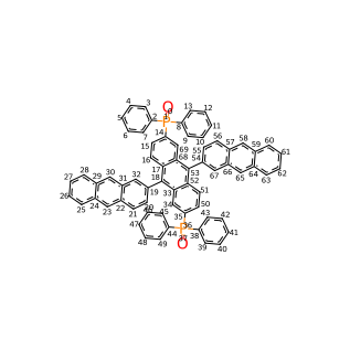 O=P(c1ccccc1)(c1ccccc1)c1ccc2c(-c3ccc4cc5ccccc5cc4c3)c3cc(P(=O)(c4ccccc4)c4ccccc4)ccc3c(-c3ccc4cc5ccccc5cc4c3)c2c1